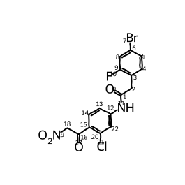 O=C(Cc1ccc(Br)cc1F)Nc1ccc(C(=O)C[N+](=O)[O-])c(Cl)c1